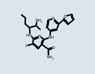 CCCC(Nc1nc(Nc2ccnc(-c3ccco3)c2)c(C(N)=O)cc1F)C(C)N